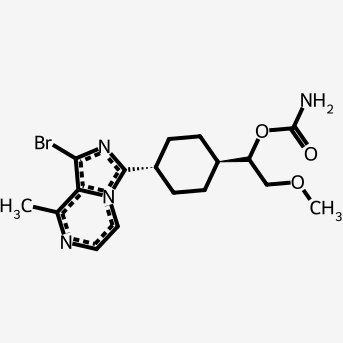 COCC(OC(N)=O)[C@H]1CC[C@H](c2nc(Br)c3c(C)nccn32)CC1